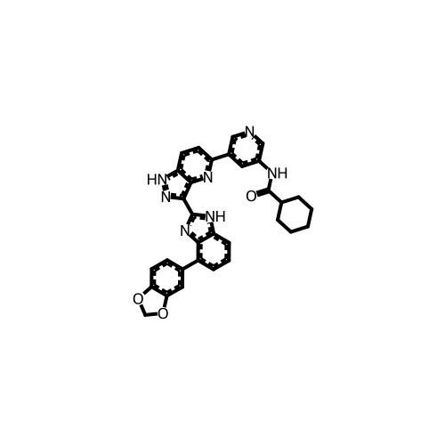 O=C(Nc1cncc(-c2ccc3[nH]nc(-c4nc5c(-c6ccc7c(c6)OCO7)cccc5[nH]4)c3n2)c1)C1CCCCC1